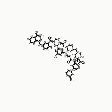 CCc1cccc(-c2cnc(C(=O)N3CCC(CN4CCN(CC(=O)N5CCN(C(=O)c6cc(Cc7n[nH]c(=O)c8ccccc78)ccc6F)CC5)CC4)CC3)c(NC(=O)CNCc3cc(C)ncn3)c2)c1